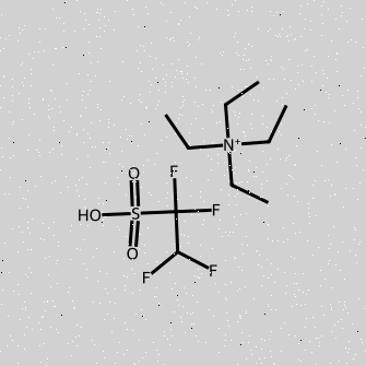 CC[N+](CC)(CC)CC.O=S(=O)(O)C(F)(F)C(F)F